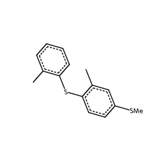 CSc1ccc(Sc2ccccc2C)c(C)c1